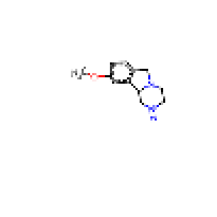 COc1ccc2c(c1)C1CNCCN1C2